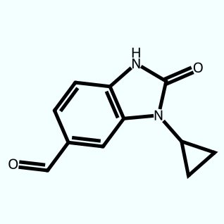 O=Cc1ccc2[nH]c(=O)n(C3CC3)c2c1